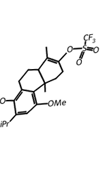 COc1cc(C(C)C)c(OC)c2c1C1(C)CCC(OS(=O)(=O)C(F)(F)F)=C(C)C1CC2